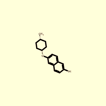 CC(=O)c1ccc2cc(O[C@H]3CC[C@@H](C)CC3)ccc2c1